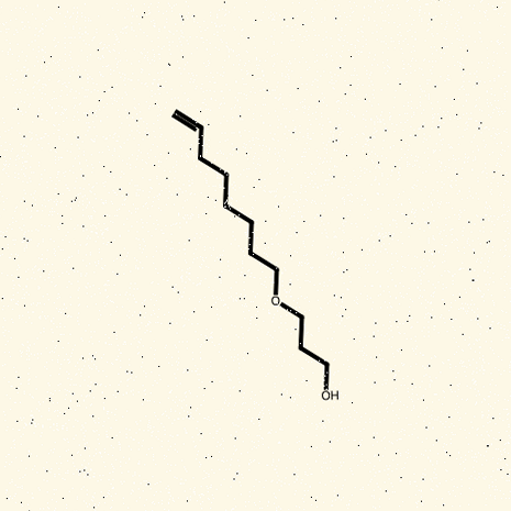 C=CCCCCCCOCCCO